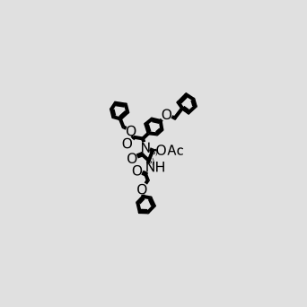 CC(=O)O[C@H]1[C@H](NC(=O)COc2ccccc2)C(=O)N1C(C(=O)OCc1ccccc1)c1ccc(OCc2ccccc2)cc1